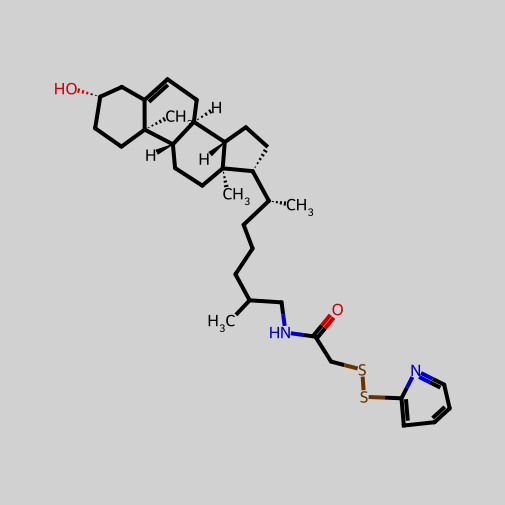 CC(CCC[C@@H](C)[C@H]1CC[C@H]2[C@@H]3CC=C4C[C@@H](O)CC[C@]4(C)[C@H]3CC[C@]12C)CNC(=O)CSSc1ccccn1